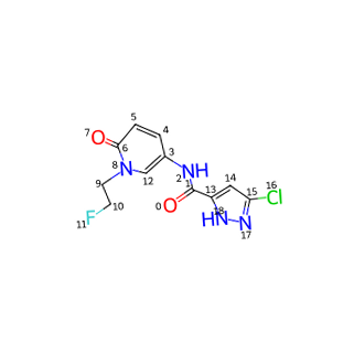 O=C(Nc1ccc(=O)n(CCF)c1)c1cc(Cl)n[nH]1